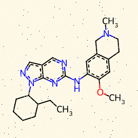 CCC1CCCCC1n1ncc2cnc(Nc3cc4c(cc3OC)CCN(C)C4)nc21